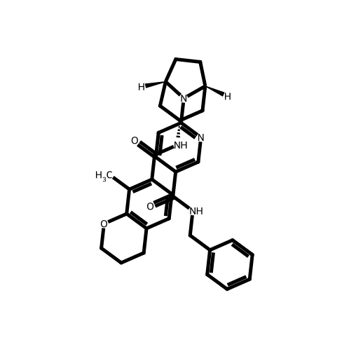 Cc1c(C(=O)N[C@H]2C[C@H]3CC[C@@H](C2)N3c2ccc(C(=O)NCc3ccccc3)cn2)ccc2c1OCCC2